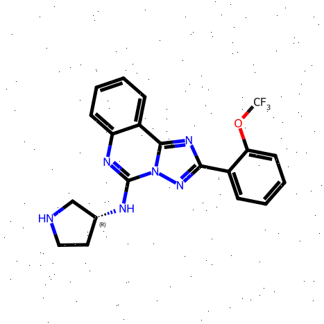 FC(F)(F)Oc1ccccc1-c1nc2c3ccccc3nc(N[C@@H]3CCNC3)n2n1